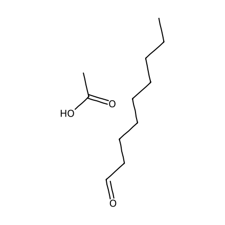 CC(=O)O.CCCCCCCCC=O